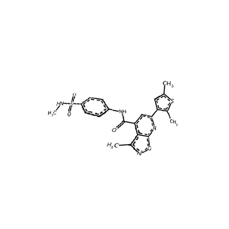 CNS(=O)(=O)c1ccc(NC(=O)c2cc(-c3cc(C)sc3C)nc3onc(C)c23)cc1